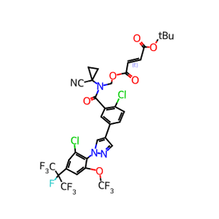 CC(C)(C)OC(=O)/C=C/C(=O)OCN(C(=O)c1cc(-c2cnn(-c3c(Cl)cc(C(F)(C(F)(F)F)C(F)(F)F)cc3OC(F)(F)F)c2)ccc1Cl)C1(C#N)CC1